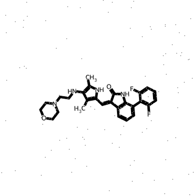 Cc1[nH]c(/C=C2\C(=O)Nc3c2cccc3-c2c(F)cccc2F)c(C)c1NCCN1CCOCC1